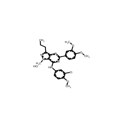 CCCc1nn(C)c2c(Nc3ccc(OC)c(Cl)c3)nc(-c3ccc(OC)c(OC)c3)nc12.Cl